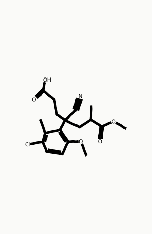 COC(=O)C(C)CC(C#N)(CCC(=O)O)c1c(OC)ccc(Cl)c1C